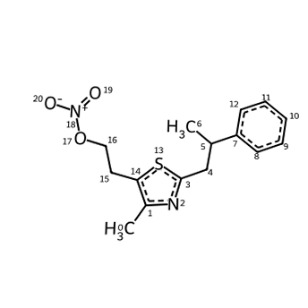 Cc1nc(CC(C)c2ccccc2)sc1CCO[N+](=O)[O-]